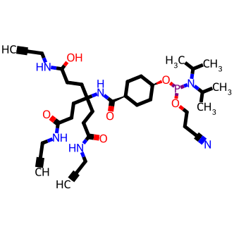 C#CCNC(=O)CCC(CCC(=O)NCC#C)(CCC(O)NCC#C)NC(=O)[C@H]1CC[C@@H](OP(OCCC#N)N(C(C)C)C(C)C)CC1